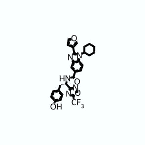 O=C(N[C@@H](Cc1ccc(O)cc1)c1noc(C(F)(F)F)n1)c1ccc2c(c1)nc(-c1ccoc1)n2C1CCCCC1